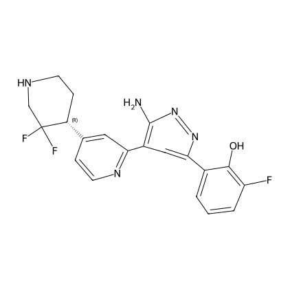 Nc1nnc(-c2cccc(F)c2O)cc1-c1cc([C@H]2CCNCC2(F)F)ccn1